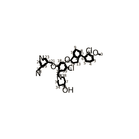 COc1cccc(-c2cccc3c2CC[C@@H]3Oc2cc(OCc3cncc(C#N)c3)c(CN3CCC(O)CC3)cc2Cl)c1Cl